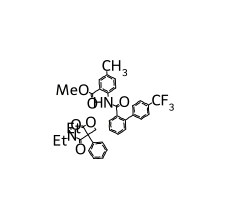 CCN(CC)C(=O)C1(c2ccccc2)COC1=O.COC(=O)c1cc(C)ccc1NC(=O)c1ccccc1-c1ccc(C(F)(F)F)cc1